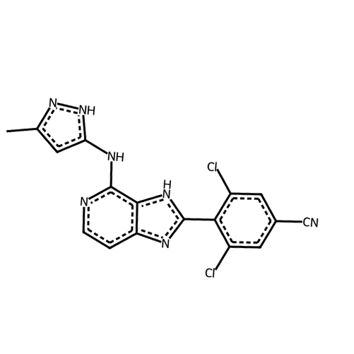 Cc1cc(Nc2nccc3nc(-c4c(Cl)cc(C#N)cc4Cl)[nH]c23)[nH]n1